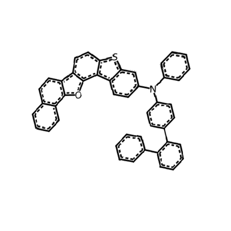 c1ccc(-c2ccccc2-c2ccc(N(c3ccccc3)c3ccc4c(c3)sc3ccc5c6ccc7ccccc7c6oc5c34)cc2)cc1